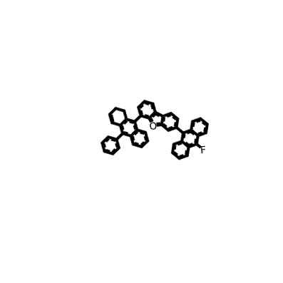 Fc1c2ccccc2c(-c2ccc3c(c2)oc2c(-c4c5c(c(-c6ccccc6)c6ccccc46)C=CCC5)cccc23)c2ccccc12